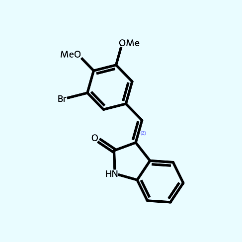 COc1cc(/C=C2\C(=O)Nc3ccccc32)cc(Br)c1OC